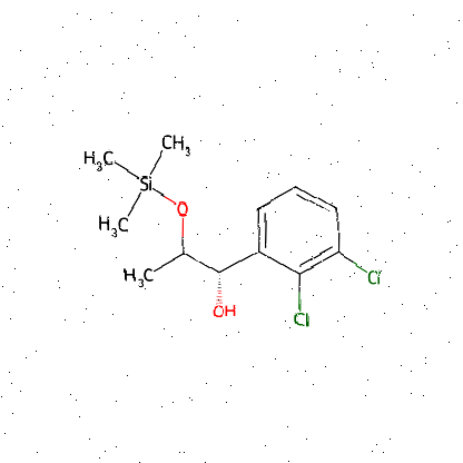 CC(O[Si](C)(C)C)[C@@H](O)c1cccc(Cl)c1Cl